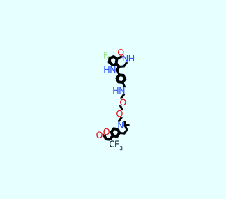 CC1(C)CCc2cc3c(C(F)(F)F)cc(=O)oc3cc2N1CCOCCOCCNCc1ccc(-c2[nH]c3cc(F)cc4c3c2CCNC4=O)cc1